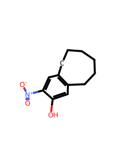 O=[N+]([O-])c1cc2c(cc1O)CCCCCC2